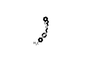 Cc1ccc(N2CCN(CCCOCC3Cc4ccccc4O3)CC2)cc1